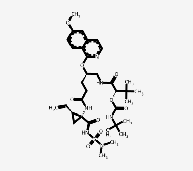 C=C[C@@H]1C[C@]1(NC(=O)CC[C@H](CNC(=O)[C@@H](OC(=O)NC(C)(C)C)C(C)(C)C)Oc1nccc2cc(OC)ccc12)C(=O)NS(=O)(=O)N(C)C